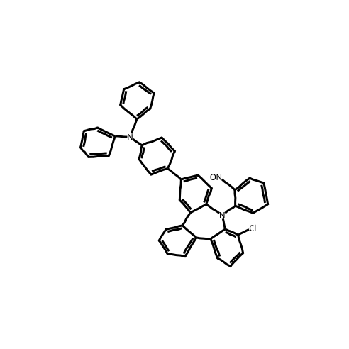 O=Nc1ccccc1N1c2ccc(-c3ccc(N(c4ccccc4)c4ccccc4)cc3)cc2-c2ccccc2-c2cccc(Cl)c21